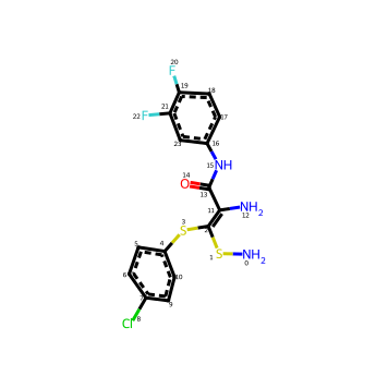 NS/C(Sc1ccc(Cl)cc1)=C(\N)C(=O)Nc1ccc(F)c(F)c1